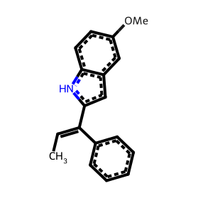 CC=C(c1ccccc1)c1cc2cc(OC)ccc2[nH]1